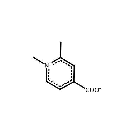 Cc1cc(C(=O)[O-])cc[n+]1C